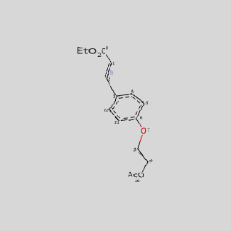 CCOC(=O)/C=C/c1ccc(OCCOC(C)=O)cc1